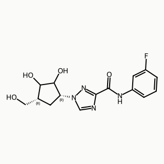 O=C(Nc1cccc(F)c1)c1ncn([C@@H]2C[C@H](CO)C(O)C2O)n1